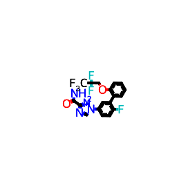 NC(=O)c1ncn(-c2ccc(F)c(-c3ccccc3OCC(F)(F)C(F)(F)F)c2)n1